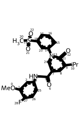 COc1cc(NC(=O)c2cc(C(C)C)c(=O)n(-c3cccc(S(C)(=O)=O)c3)c2)ccc1F